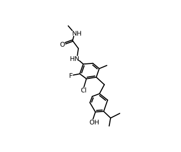 CNC(=O)CNc1cc(C)c(Cc2ccc(O)c(C(C)C)c2)c(Cl)c1F